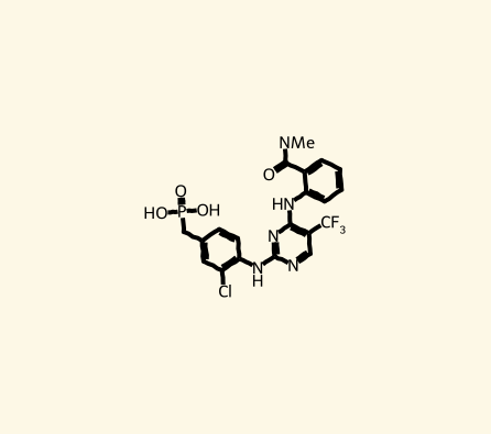 CNC(=O)c1ccccc1Nc1nc(Nc2ccc(CP(=O)(O)O)cc2Cl)ncc1C(F)(F)F